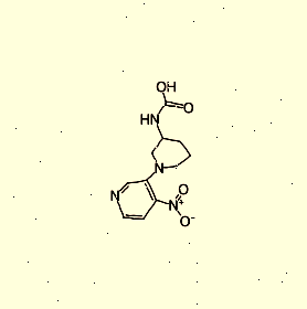 O=C(O)NC1CCCN(c2cnccc2[N+](=O)[O-])C1